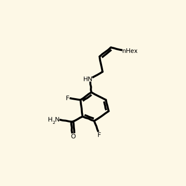 CCCCCC/C=C\CNc1ccc(F)c(C(N)=O)c1F